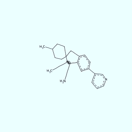 CC1CCC2(CC1)Cc1ccc(-c3cccnc3)cc1C21N=C(N)N(C)O1